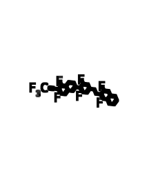 Fc1cc2cc(-c3c(F)cc(CCc4c(F)cc5ccccc5c4F)cc3F)ccc2c(F)c1C#CC(F)(F)F